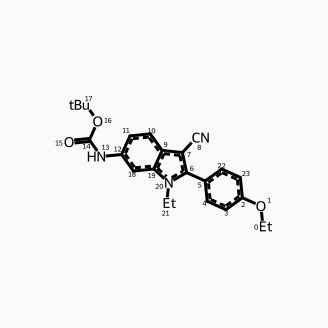 CCOc1ccc(-c2c(C#N)c3ccc(NC(=O)OC(C)(C)C)cc3n2CC)cc1